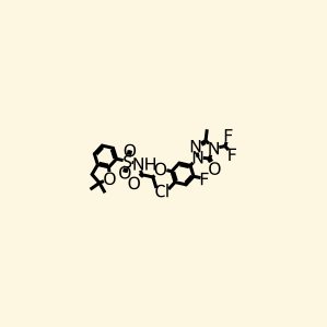 Cc1nn(-c2cc(OC(C)C(=O)NS(=O)(=O)c3cccc4c3OC(C)(C)C4)c(Cl)cc2F)c(=O)n1C(F)F